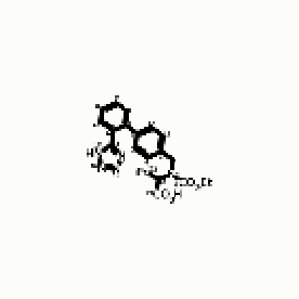 CCOC(=O)N(Cc1ccc(-c2ccccc2-c2nnn[nH]2)cc1)C(C(=O)O)C(C)C